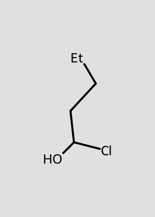 CCCCC(O)Cl